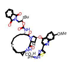 COc1ccc2c(O[C@@H]3C[C@H]4C(=O)N[C@]5(C(=O)O)CC5/C=C\CCCCC[C@H](NC(=O)O[C@H](CN5C(=O)c6ccccc6C5=O)C(C)(C)C)C(=O)N4C3)cc(-c3csc(NC(C)C)n3)nc2c1